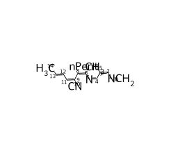 C=N\C=C(/C=N\C(C)=C/C(C#N)=C\C=C\C)CCCCC